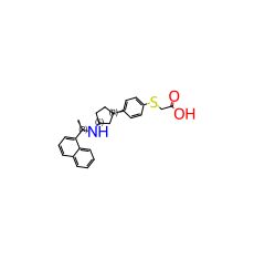 C[C@@H](N[C@H]1CC[C@@H](c2ccc(SCC(=O)O)cc2)C1)c1cccc2ccccc12